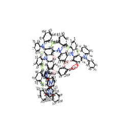 Fc1cccc(F)c1N1c2cc3c(cc2B2c4ccccc4Oc4cc(N(c5ccccc5)c5ccccc5)cc1c42)B1c2cc4c(cc2N(c2c(F)cccc2F)c2cc(N(c5ccccc5)c5ccccc5)cc(c21)N3c1c(F)cccc1F)N(c1c(F)cccc1F)c1cc(N(c2ccccc2)c2ccccc2)cc2c1B4c1ccccc1N2c1ccccc1